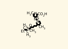 CC/C(C)=C(C)/N=C(\C)C(=O)CCCC1CN(c2nc3cc(C)nc(C(=O)O)c3s2)CC[C@H]1C